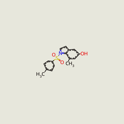 Cc1ccc(S(=O)(=O)n2ccc3cc(O)cc(C)c32)cc1